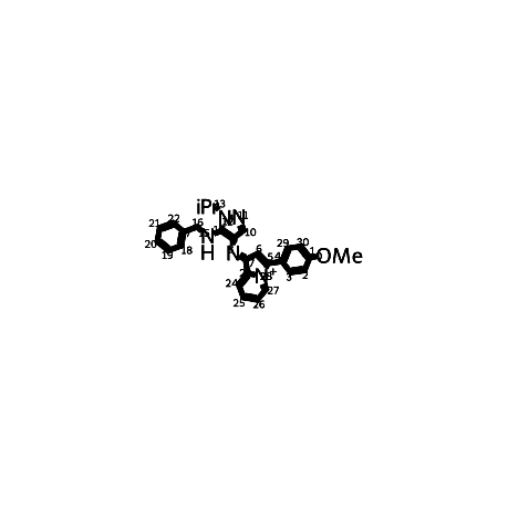 COc1ccc(C2=C/C(=N\c3cnn(C(C)C)c3NCc3ccccc3)c3cccc[n+]32)cc1